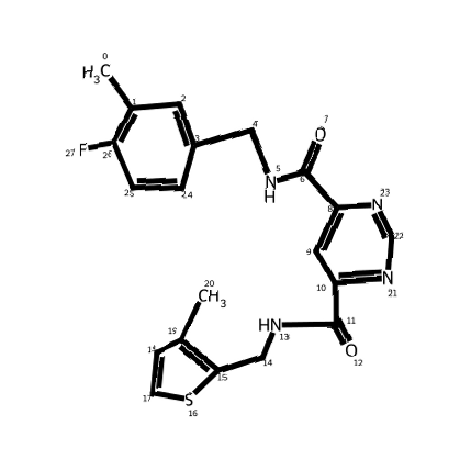 Cc1cc(CNC(=O)c2cc(C(=O)NCc3sccc3C)ncn2)ccc1F